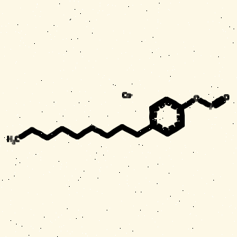 CCCCCCCCCc1ccc(OP=O)cc1.[Co]